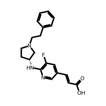 O=C(O)/C=C/c1cnc(N[C@@H]2CCN(CCc3ccccc3)C2)c(F)c1